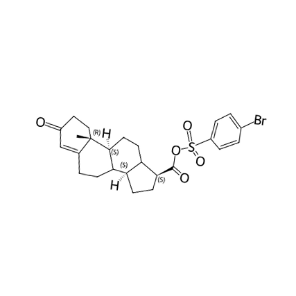 C[C@]12CCC(=O)C=C1CCC1[C@@H]3CC[C@H](C(=O)OS(=O)(=O)c4ccc(Br)cc4)C3CC[C@@H]12